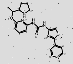 CC(Oc1cccc(NC(=O)Nc2csc(-c3ccncc3)n2)n1)C1CCCN1